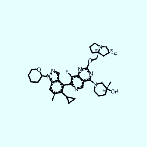 Cc1cc2c(cnn2C2CCCCO2)c(-c2ncc3c(N4CCC[C@@](C)(O)C4)nc(OC[C@@]45CCCN4C[C@H](F)C5)nc3c2F)c1C1CC1